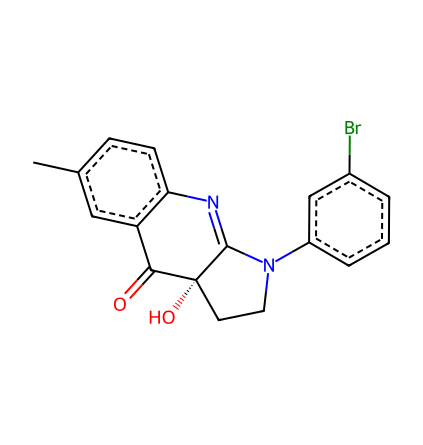 Cc1ccc2c(c1)C(=O)[C@]1(O)CCN(c3cccc(Br)c3)C1=N2